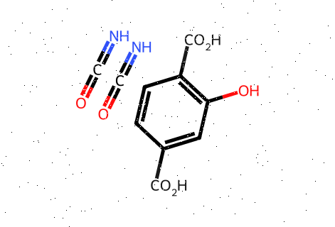 N=C=O.N=C=O.O=C(O)c1ccc(C(=O)O)c(O)c1